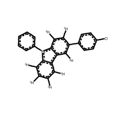 [2H]c1c([2H])c([2H])c2c(c1[2H])c1c([2H])c(-c3ccc(Cl)cc3)c([2H])c([2H])c1n2-c1ccccc1